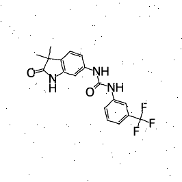 CC1(C)C(=O)Nc2cc(NC(=O)Nc3cccc(C(F)(F)F)c3)ccc21